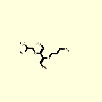 CC=C(OCCCC)C(=CC)OCC(C)C